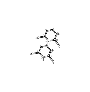 O=c1cc[nH]c(=O)[nH]1.O=c1cc[nH]c(=S)[nH]1